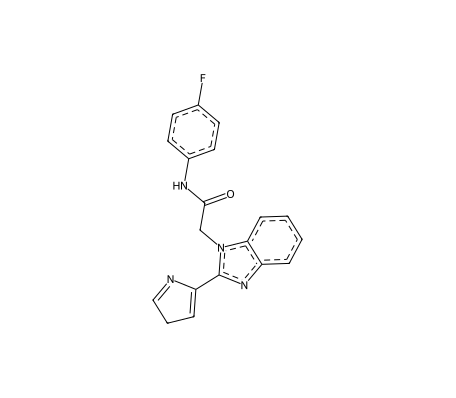 O=C(Cn1c(C2=CCC=N2)nc2ccccc21)Nc1ccc(F)cc1